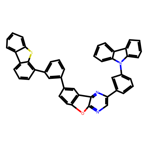 c1cc(-c2ccc3oc4ncc(-c5cccc(-n6c7ccccc7c7ccccc76)c5)nc4c3c2)cc(-c2cccc3c2sc2ccccc23)c1